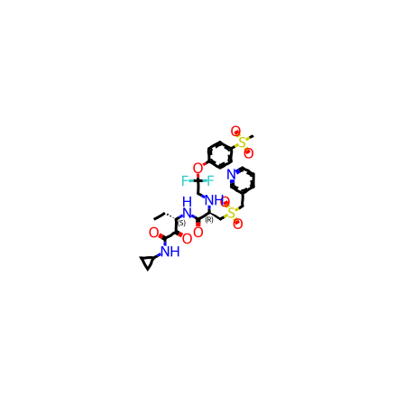 CC[C@H](NC(=O)[C@H](CS(=O)(=O)Cc1cccnc1)NCC(F)(F)Oc1ccc(S(C)(=O)=O)cc1)C(=O)C(=O)NC1CC1